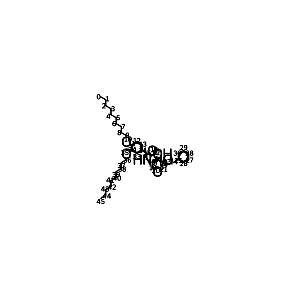 CCCCCCCCCCOc1ccc(C(=O)N[C@H]2COC[C@@H](OCc3ccccc3)[C@@H]2O)cc1OCCCCCCCCCC